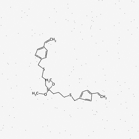 C=Cc1ccc(CSCCC[Si](CCCSCc2ccc(C=C)cc2)(OC)OC)cc1